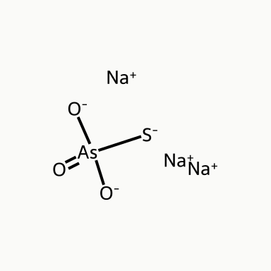 O=[As]([O-])([O-])[S-].[Na+].[Na+].[Na+]